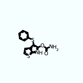 NC(=O)Oc1[nH]c2sccc2c1Sc1ccccc1